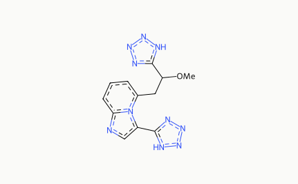 COC(Cc1cccc2ncc(-c3nnn[nH]3)n12)c1nnn[nH]1